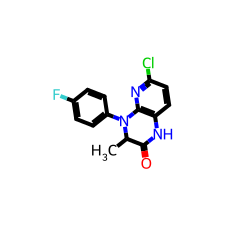 CC1C(=O)Nc2ccc(Cl)nc2N1c1ccc(F)cc1